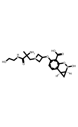 CC(N)(CN1CC(Oc2ccc3c(c2C(=O)O)OB(O)[C@H]2C[C@@H]32)C1)C(=O)NCCO